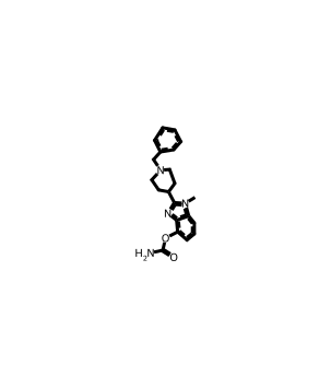 Cn1c(C2CCN(Cc3ccccc3)CC2)nc2c(OC(N)=O)cccc21